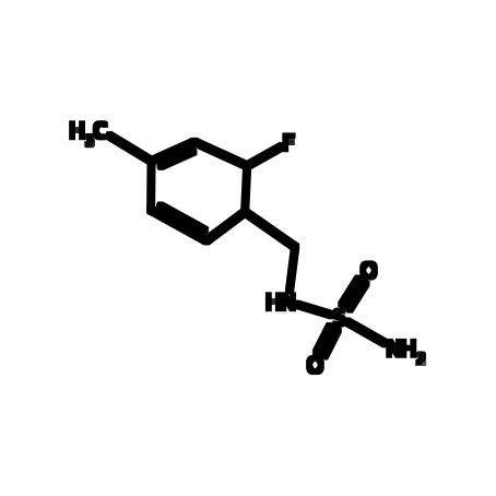 CC1=CC(F)C(CNS(N)(=O)=O)C=C1